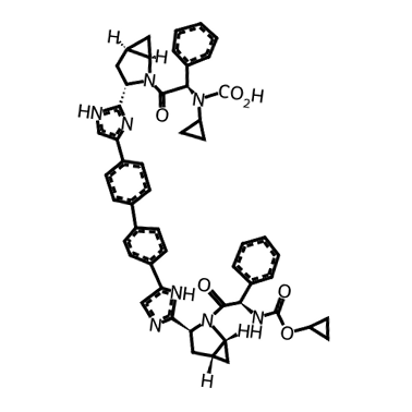 O=C(N[C@@H](C(=O)N1[C@@H]2C[C@@H]2C[C@H]1c1ncc(-c2ccc(-c3ccc(-c4c[nH]c([C@@H]5C[C@H]6C[C@H]6N5C(=O)[C@@H](c5ccccc5)N(C(=O)O)C5CC5)n4)cc3)cc2)[nH]1)c1ccccc1)OC1CC1